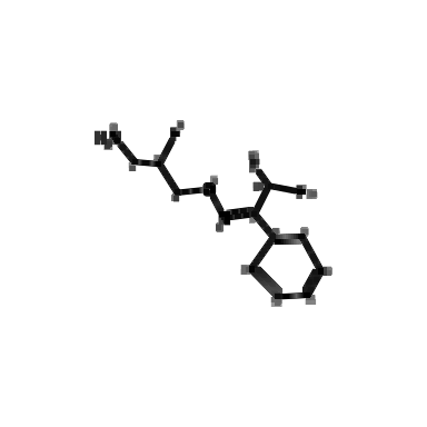 NCC(F)CON=C(c1ccccc1)C(F)F